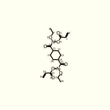 C=CC(=O)ON(OCC)C(=O)C1CCC(C(=O)N(OCC)OC(=O)C=C)CC1